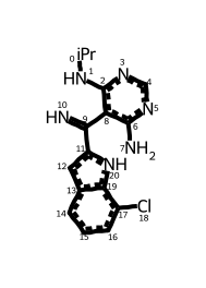 CC(C)Nc1ncnc(N)c1C(=N)c1cc2cccc(Cl)c2[nH]1